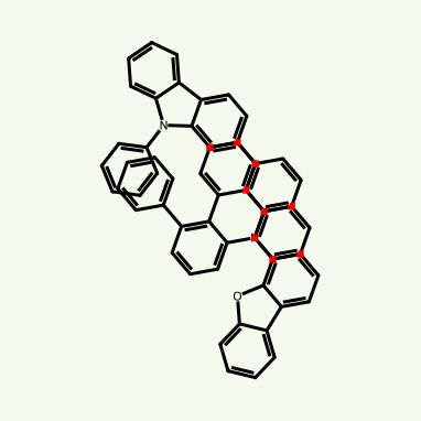 c1ccc(-c2ccccc2-c2c(-c3ccccc3)cccc2N(c2cccc(-c3ccc4c5ccccc5n(-c5ccccc5)c4c3)c2)c2cccc3c2oc2ccccc23)cc1